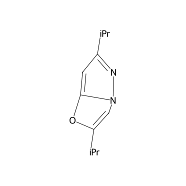 CC(C)c1cc2oc(C(C)C)cn2n1